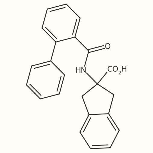 O=C(NC1(C(=O)O)Cc2ccccc2C1)c1ccccc1-c1ccccc1